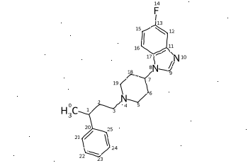 CC(CCN1CCC(n2cnc3cc(F)ccc32)CC1)c1ccccc1